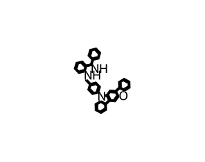 N=C(c1ccccc1)c1ccccc1NCc1ccc(N2c3cc4c(cc3C3C=CC=CC32)oc2ccccc24)cc1